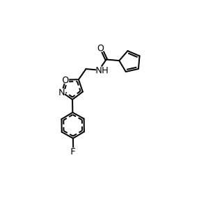 O=C(NCc1cc(-c2ccc(F)cc2)no1)C1C=CC=C1